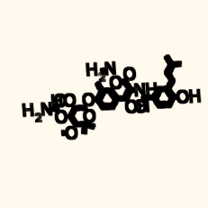 CN.CO[C@@H]1[C@@H](OC(N)=O)[C@@H](O)[C@H](Oc2ccc3c(O)c(NC(=O)c4ccc(O)c(CC=C(C)C)c4)c(=O)oc3c2C)OC1(C)C